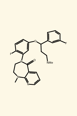 CNCCC(Oc1ccc(F)c(N2CCN(C)c3ncccc3C2=O)c1)c1cccc(F)c1